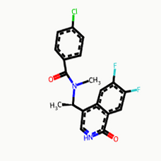 C[C@H](c1c[nH]c(=O)c2cc(F)c(F)cc12)N(C)C(=O)c1ccc(Cl)cc1